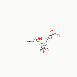 CC#CC[C@H](C)[C@H](O)/C=C/C(C)(C)[C@H]1CC(F)(F)C(=O)N1C(C)(C)CCC(C)(C)c1ccc(C(=O)O)cc1